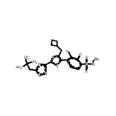 CC(C)(C)NS(=O)(=O)c1ccc(-c2sc(-c3nnc(CC(C)(C)C(=O)O)o3)nc2CC2CCC2)c(Cl)c1Cl